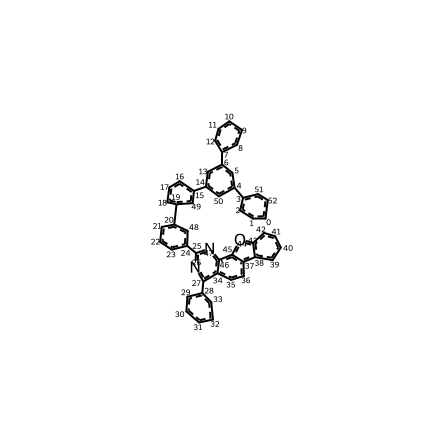 c1ccc(-c2cc(-c3ccccc3)cc(-c3cccc(-c4cccc(-c5nc(-c6ccccc6)c6ccc7c8ccccc8oc7c6n5)c4)c3)c2)cc1